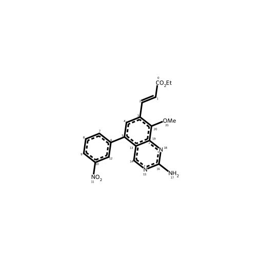 CCOC(=O)C=Cc1cc(-c2cccc([N+](=O)[O-])c2)c2cnc(N)nc2c1OC